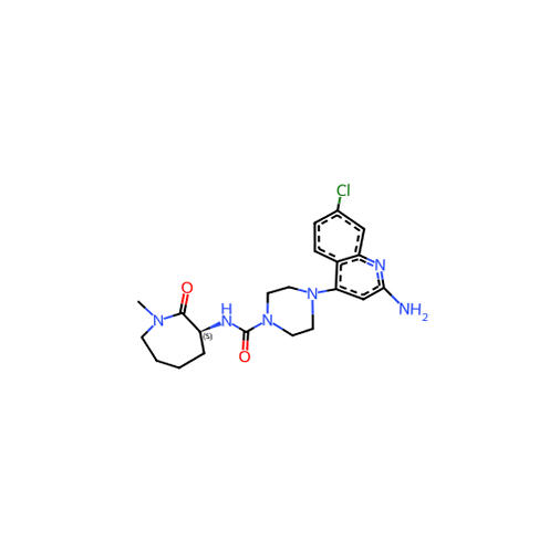 CN1CCCC[C@H](NC(=O)N2CCN(c3cc(N)nc4cc(Cl)ccc34)CC2)C1=O